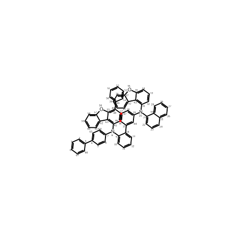 c1ccc(-c2ccc(N(c3ccccc3-c3cccc(N(c4cccc5ccccc45)c4cccc5oc6ccccc6c45)c3)c3ccc(-c4ccccc4)c4oc5ccccc5c34)cc2)cc1